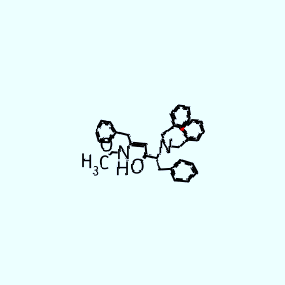 CC(=O)NC(=CC(=O)[C@H](Cc1ccccc1)N(Cc1ccccc1)Cc1ccccc1)Cc1ccccc1